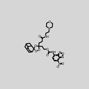 O=C(CCC1(CCOC(=O)Nc2ccc([N+](=O)[O-])c3nonc23)OOC2(O1)C1CC3CC(C1)CC2C3)NCCN1CCOCC1